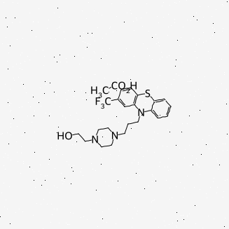 CC(=O)O.OCCN1CCN(CCCN2c3ccccc3Sc3ccc(C(F)(F)F)cc32)CC1